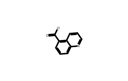 O=C(Cl)c1cccc2ncccc12